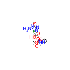 COc1nc(N)nc2c1ncn2[C@@H]1O[C@H](COP(=S)(NC(C)C(=O)OC(C)C)Oc2ccccc2)C(O)C1(C)F